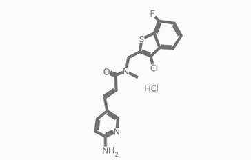 CN(Cc1sc2c(F)cccc2c1Cl)C(=O)C=Cc1ccc(N)nc1.Cl